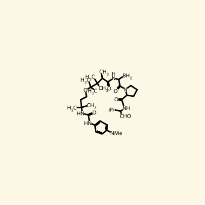 BC(NC(=O)C(C)C(C)(C)C(C)(C)OCCC(C)(C)NC(=O)Nc1ccc(NC)cc1)C(=O)N1CCCC1C(=O)NC(C=O)C(C)C